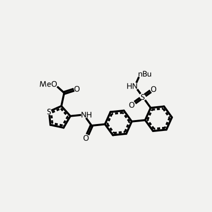 CCCCNS(=O)(=O)c1ccccc1-c1ccc(C(=O)Nc2ccsc2C(=O)OC)cc1